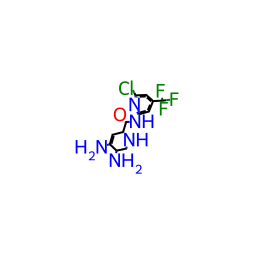 NC1=CC(C(=O)Nc2cc(C(F)(F)F)cc(Cl)n2)NCC1N